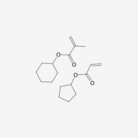 C=C(C)C(=O)OC1CCCCC1.C=CC(=O)OC1CCCC1